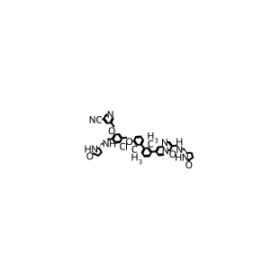 Cc1c(OCc2cc(OCc3cncc(C#N)c3)c(CNC[C@@H]3CCC(=O)N3)cc2Cl)cccc1-c1cccc(-c2ccn3c(=O)c(CNC[C@H]4CCC(=O)N4)cnc3c2)c1C